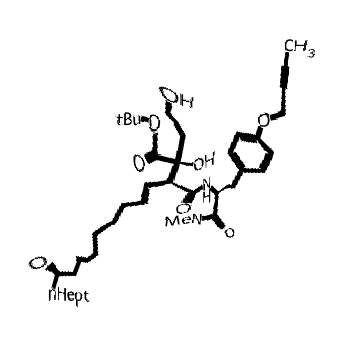 CC#CCOc1ccc(C[C@H](NC(=O)[C@@H](/C=C/CCCCCCC(=O)CCCCCCC)[C@@](O)(CCO)C(=O)OC(C)(C)C)C(=O)NC)cc1